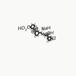 O=C(O)c1cccc(S(=O)(=O)c2cccc(CCNC[C@@H](O)c3cccc(Cl)c3)c2)c1.[NaH]